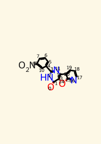 O=c1[nH]c(-c2cccc([N+](=O)[O-])c2)nc2c1oc1ncccc12